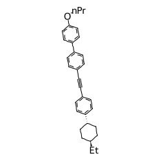 CCCOc1ccc(-c2ccc(C#Cc3ccc([C@H]4CC[C@H](CC)CC4)cc3)cc2)cc1